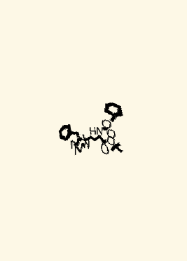 CC(C)(C)OC(=O)C(CCc1nnnn1Cc1ccccc1)NC(=O)OCc1ccccc1